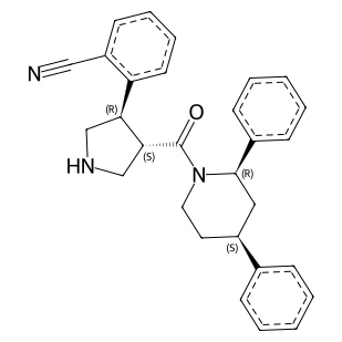 N#Cc1ccccc1[C@@H]1CNC[C@H]1C(=O)N1CC[C@H](c2ccccc2)C[C@@H]1c1ccccc1